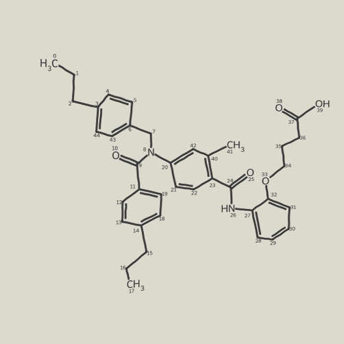 CCCc1ccc(CN(C(=O)c2ccc(CCC)cc2)c2ccc(C(=O)Nc3ccccc3OCCCC(=O)O)c(C)c2)cc1